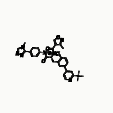 Cc1nocc1C(=O)N[C@@H](Cc1cc(-c2ccnc(C(C)(C)C)c2)ccc1Cl)C(=O)Nc1ccc(-c2nncn2C)cc1